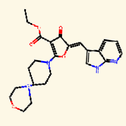 CCOC(=O)C1=C(N2CCC(N3CCOCC3)CC2)OC(=Cc2c[nH]c3ncccc23)C1=O